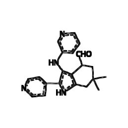 CC1(C)Cc2[nH]c(-c3ccncc3)c(Nc3cccnc3)c2C(C=O)C1